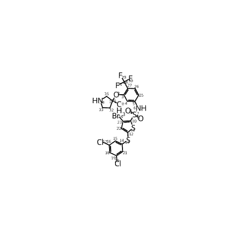 C[C@@]1(Oc2cc(NS(=O)(=O)c3sc(Sc4cc(Cl)cc(Cl)c4)cc3Br)ccc2C(F)(F)F)CCNC1